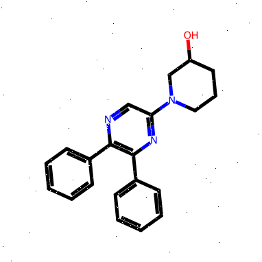 OC1CCCN(c2cnc(-c3ccccc3)c(-c3ccccc3)n2)C1